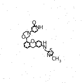 Cc1csc(CNc2ccc3c(c2)Cc2cccc(C4CN(c5cc[nH]c(=O)c5)CCO4)c2O3)n1